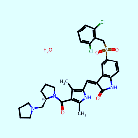 Cc1[nH]c(C=C2C(=O)Nc3ccc(S(=O)(=O)Cc4c(Cl)cccc4Cl)cc32)c(C)c1C(=O)N1CCC[C@@H]1CN1CCCC1.O